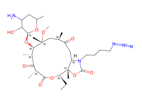 CC[C@H]1OC(=O)[C@H](C)C(=O)[C@H](C)[C@@H](O[C@@H]2OC(C)CC(N)C2O)[C@](C)(OC)C[C@@H](C)C(=O)C[C@H]2N(CCCCN=[N+]=[N-])C(=O)O[C@]12C